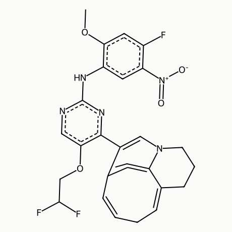 COc1cc(F)c([N+](=O)[O-])cc1Nc1ncc(OCC(F)F)c(C2=CN3CCC/C4=C/C/C=C\C2=C=C43)n1